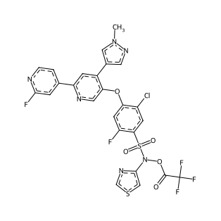 Cn1cc(-c2cc(-c3ccnc(F)c3)ncc2Oc2cc(F)c(S(=O)(=O)N(OC(=O)C(F)(F)F)c3cscn3)cc2Cl)cn1